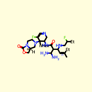 CCCCCCC1(N2CCN3C(=O)OC[C@@H]3C2)C(F)=C=NCC1NC(=O)C(C(N)N)C(/C=C(/C)CC)NCC(F)CC